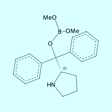 COB(OC)OC(c1ccccc1)(c1ccccc1)[C@@H]1CCCN1